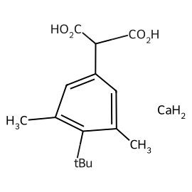 Cc1cc(C(C(=O)O)C(=O)O)cc(C)c1C(C)(C)C.[CaH2]